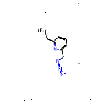 CC(C)(C)Cc1cccc(CN=[N+]=[N-])n1